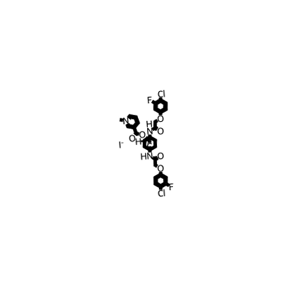 C[n+]1cccc(C(=O)O[C@H]2CC3(NC(=O)COc4ccc(Cl)c(F)c4)CCC2(NC(=O)COc2ccc(Cl)c(F)c2)CC3)c1.[I-]